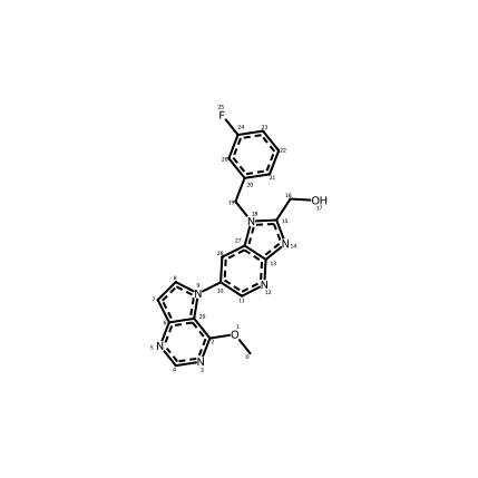 COc1ncnc2ccn(-c3cnc4nc(CO)n(Cc5cccc(F)c5)c4c3)c12